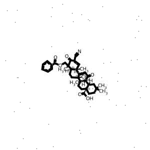 CC1(C)CC[C@]2(C(=O)O)CC[C@]3(C)[C@H](C(=O)C=C4[C@@]5(C)C=C(C#N)C(=O)[C@@](C)(COC(=O)c6ccccc6)[C@@H]5CC[C@]43C)[C@@H]2C1